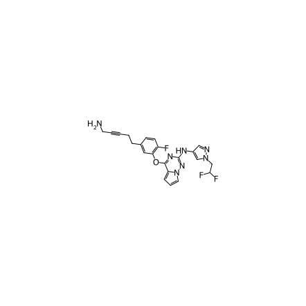 NCC#CCCc1ccc(F)c(Oc2nc(Nc3cnn(CC(F)F)c3)nn3cccc23)c1